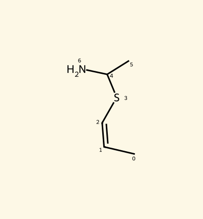 C/C=C\SC(C)N